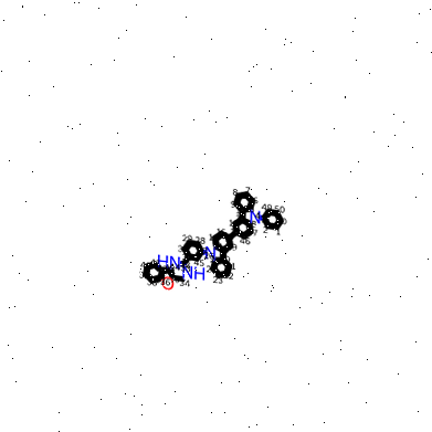 c1ccc(-n2c3ccccc3c3cc(-c4ccc5c(c4)c4ccccc4n5-c4cccc(C5NCc6oc7ccccc7c6N5)c4)ccc32)cc1